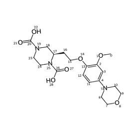 COc1cc(N2CCOCC2)ccc1OCC[C@@H]1CN(C(=O)O)CCN1C(=O)O